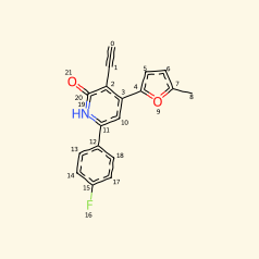 C#Cc1c(-c2ccc(C)o2)cc(-c2ccc(F)cc2)[nH]c1=O